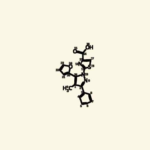 Cc1c(-c2ccccc2)nn(-c2nc(C(=O)O)cs2)c1-c1ccco1